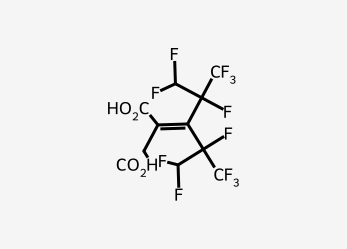 O=C(O)CC(C(=O)O)=C(C(F)(C(F)F)C(F)(F)F)C(F)(C(F)F)C(F)(F)F